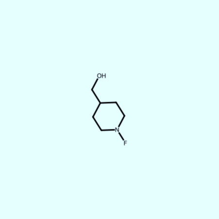 OCC1CCN(F)CC1